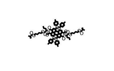 C=C(C)C(=O)OCCCCOC(=O)C(CCC)N1C(=O)c2cc(Oc3ccc(C)cc3)c3c4c(Oc5ccc(C)cc5)cc5c6c(cc(Oc7ccc(C)cc7)c(c7c(Oc8ccc(C)cc8)cc(c2c37)C1=O)c64)C(=O)N(C(CCC)C(=O)OCCCCOC(=O)C(=C)C)C5=O